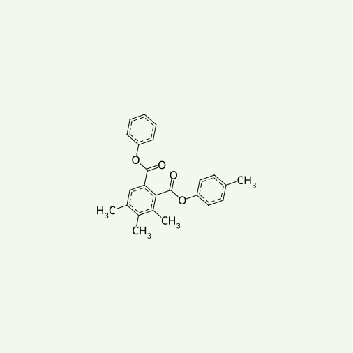 Cc1ccc(OC(=O)c2c(C(=O)Oc3ccccc3)cc(C)c(C)c2C)cc1